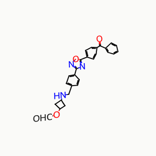 O=COC1CC(NCc2ccc(-c3noc(-c4ccc(C(=O)c5ccccc5)cc4)n3)cc2)C1